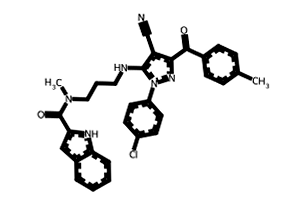 Cc1ccc(C(=O)c2nn(-c3ccc(Cl)cc3)c(NCCCN(C)C(=O)c3cc4ccccc4[nH]3)c2C#N)cc1